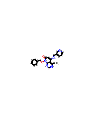 Cc1ncnc2c1c(NCc1cccnc1)cc(=O)n2OCc1ccccc1